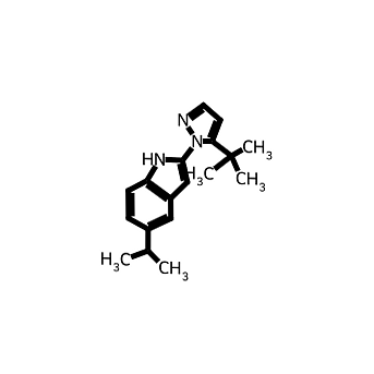 CC(C)c1ccc2[nH]c(-n3nccc3C(C)(C)C)cc2c1